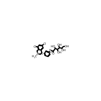 CN1Cc2c(Cl)cc(Cl)cc2[C@H](c2cccc(NC(=O)C(O)C(O)C(O)C(O)CO)c2)C1